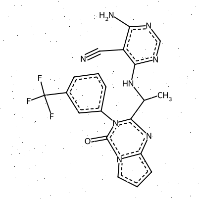 CC(Nc1ncnc(N)c1C#N)c1nc2cccn2c(=O)n1-c1cccc(C(F)(F)F)c1